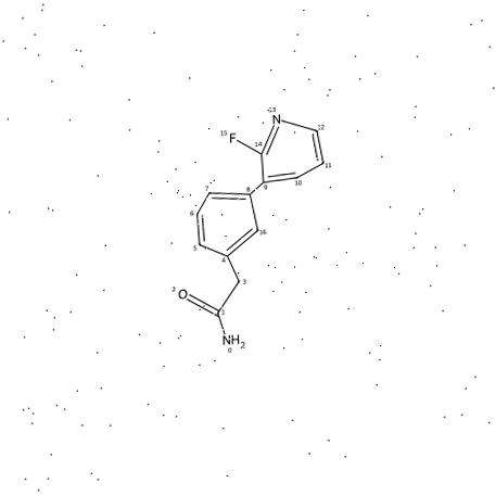 NC(=O)Cc1cccc(-c2cccnc2F)c1